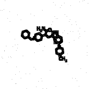 CN1CCN(c2ccc3nnc(CC(C(N)=O)C4CCN(CC5CCCCC5)CC4)n3n2)CC1